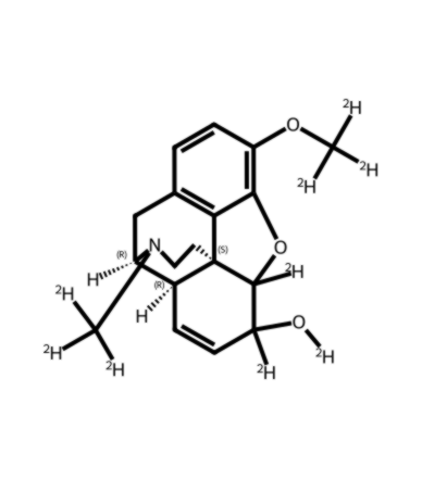 [2H]OC1([2H])C=C[C@H]2[C@H]3Cc4ccc(OC([2H])([2H])[2H])c5c4[C@@]2(CCN3C([2H])([2H])[2H])C1([2H])O5